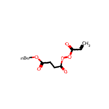 C=CC(=O)OOC(=O)CCC(=O)OCCCC